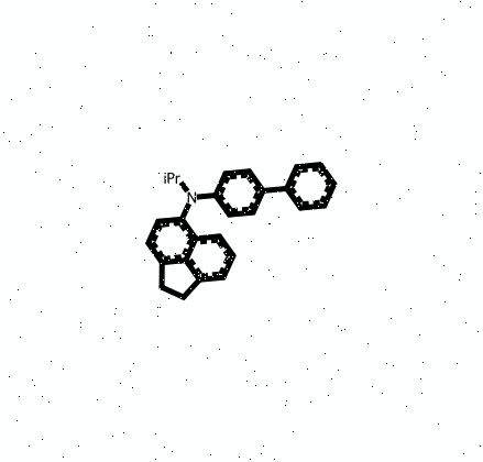 CC(C)N(c1ccc(-c2ccccc2)cc1)c1ccc2c3c(cccc13)CC2